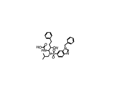 CC(C)CN(C(NC(=O)O)[C@H](O)CCc1ccccc1)S(=O)(=O)c1ccc2ncn(Cc3ccccc3)c2c1